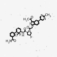 CC(=O)c1nn(CC(=O)N2C[C@H](F)C[C@H]2C(=O)NC2C=CC=C(c3cccc(C(N)=O)c3)C2(F)Cl)c2ccc(-c3cnc(C)nc3)cc12